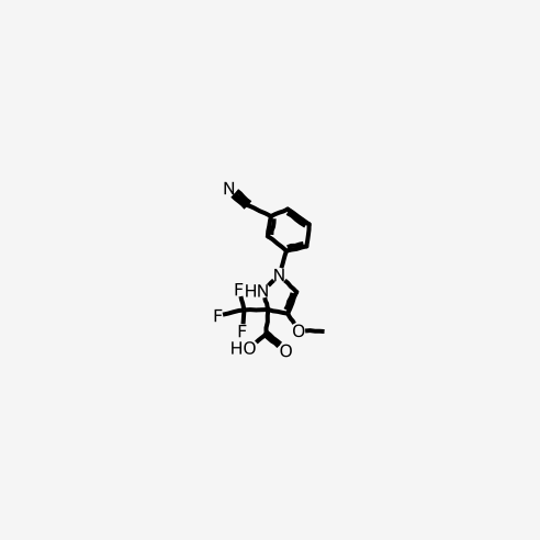 COC1=CN(c2cccc(C#N)c2)NC1(C(=O)O)C(F)(F)F